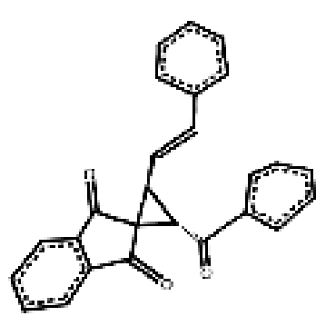 O=C(c1ccccc1)[C@H]1[C@H](C=Cc2ccccc2)C12C(=O)c1ccccc1C2=O